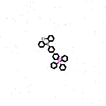 CCc1ccccc1B(c1ccccc1)c1ccccc1.c1ccc([PH](c2ccccc2)(c2ccccc2)c2ccccc2)cc1